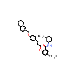 O=C(O)c1ccc(OCCCc2ccc(OCc3ccc4c(c3)CCCC4)cc2)c(C(=O)NC2CCCC(C(=O)O)C2)c1